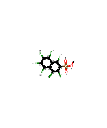 [CH2]OS(=O)(=O)c1c(F)c(F)c2c(F)c(F)c(F)c(F)c2c1F